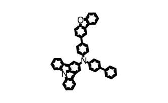 c1ccc(-c2ccc(N(c3ccc(-c4ccc5oc6ccccc6c5c4)cc3)c3cc4c5ccccc5n5c6ccccc6c(c3)c45)cc2)cc1